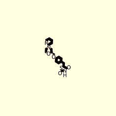 O=C1NC(=O)C(Cc2ccc(OC[C@@H]3CN(c4ccccn4)CCO3)cc2)S1